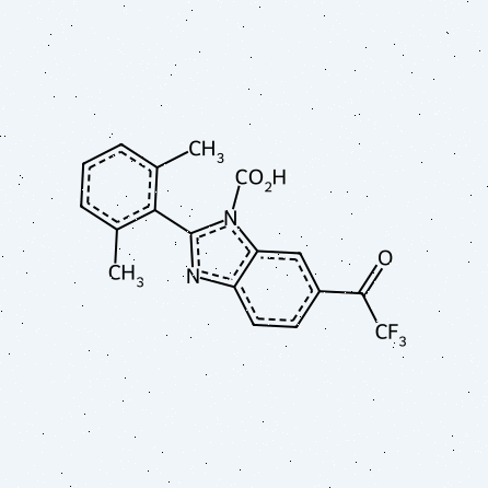 Cc1cccc(C)c1-c1nc2ccc(C(=O)C(F)(F)F)cc2n1C(=O)O